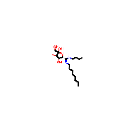 CCCCCCCCNC(NCCCC)[C@H]1O[C@@](O)(CO)[C@H](O)[C@H]1O